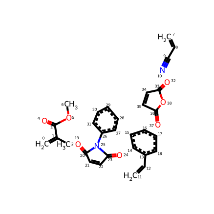 C=C(C)C(=O)OC.C=CC#N.C=Cc1ccccc1.O=C1C=CC(=O)N1c1ccccc1.O=C1C=CC(=O)O1